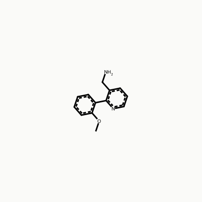 COc1ccccc1-c1ncccc1CN